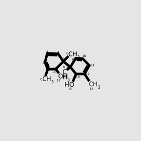 CC1=CC=CC(C)(C2(C)C=CC=C(C)C2O)C1O